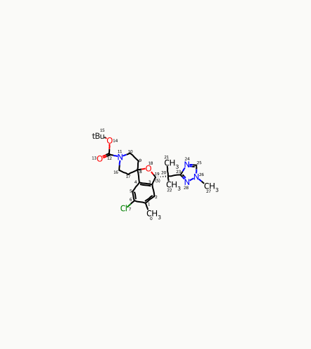 Cc1cc2c(cc1Cl)C1(CCN(C(=O)OC(C)(C)C)CC1)O[C@@H]2C(C)(C)c1ncn(C)n1